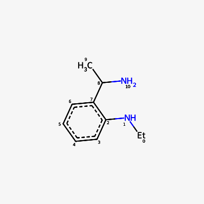 CCNc1ccccc1C(C)N